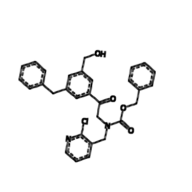 O=C(CN(Cc1cccnc1Cl)C(=O)OCc1ccccc1)c1cc(CO)cc(Cc2ccccc2)c1